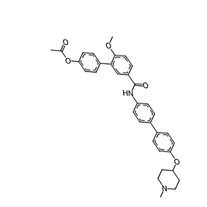 COc1ccc(C(=O)Nc2ccc(-c3ccc(OC4CCN(C)CC4)cc3)cc2)cc1-c1ccc(OC(C)=O)cc1